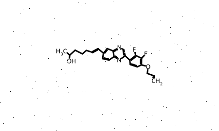 C=CCOc1ccc(-c2cnc3cc(/C=C/CCCC(C)O)ccc3n2)c(F)c1F